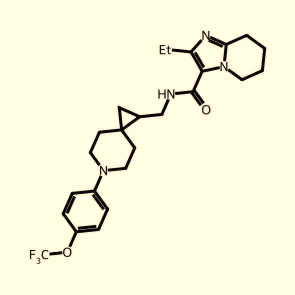 CCc1nc2n(c1C(=O)NCC1CC13CCN(c1ccc(OC(F)(F)F)cc1)CC3)CCCC2